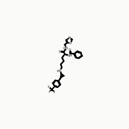 O=C(NC(CCCCNC1CC1c1ccc(C(F)(F)F)cc1)C(=O)NCc1cnco1)c1ccccc1